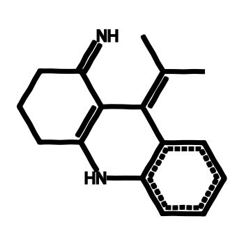 CC(C)=C1C2=C(CCCC2=N)Nc2ccccc21